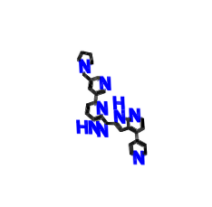 c1cc(-c2ccnc3[nH]c(-c4n[nH]c5ccc(-c6cncc(CN7CCCC7)c6)nc45)cc23)ccn1